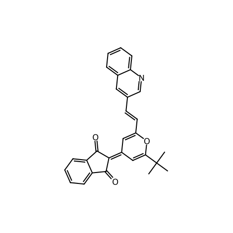 CC(C)(C)C1=CC(=C2C(=O)c3ccccc3C2=O)C=C(/C=C/c2cnc3ccccc3c2)O1